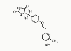 [2H]C([2H])(c1ccc(OCCc2ccc(CCC)c(C)n2)cc1)C1SC(=O)NC1=O